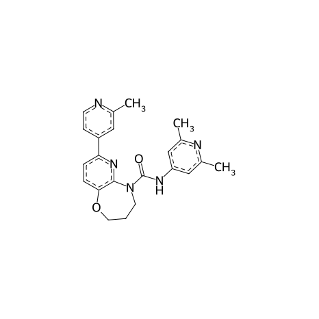 Cc1cc(-c2ccc3c(n2)N(C(=O)Nc2cc(C)nc(C)c2)CCCO3)ccn1